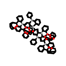 c1ccc(N2c3ccccc3B3c4cc5c(cc4N(c4ccccc4)c4cc(N(c6ccccc6C67CC8CC(CC(C8)C6)C7)c6ccccc6C67CC8CC(CC(C8)C6)C7)cc2c43)N(c2ccccc2)c2cc(N(c3ccccc3C34CC6CC(CC(C6)C3)C4)c3ccccc3C34CCC6CC(CC6C3)C4)cc3c2B5c2ccccc2N3c2ccccc2)cc1